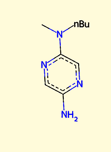 CCCCN(C)c1cnc(N)cn1